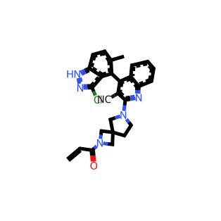 C=CC(=O)N1CC2(CCN(c3nc4ccccc4c(-c4c(C)ccc5[nH]nc(Cl)c45)c3C#N)C2)C1